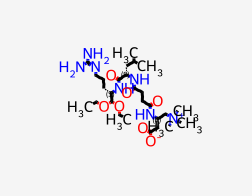 CCOC(OCC)[C@H](CCCN=C(N)N)NC(=O)[C@H](CC(C)C)NC(=O)CCC(=O)N[C@H](CC(=O)[O-])C[N+](C)(C)C